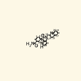 NC(=O)c1cccc(N2C(=O)N(Cc3ccc4ccccc4n3)CC3=C2NCC=C3)c1